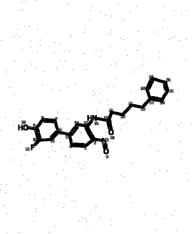 O=Nc1ccc(-c2ccc(O)c(F)c2)cc1NC(=O)CCCCc1ccccc1